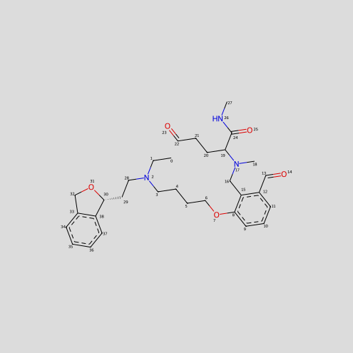 CCN(CCCCOc1cccc(C=O)c1CN(C)C(CCC=O)C(=O)NC)CC[C@H]1OCc2ccccc21